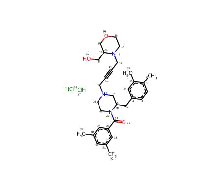 Cc1ccc(C[C@@H]2CN(CC#CCN3CCOC[C@@H]3CO)CCN2C(=O)c2cc(C(F)(F)F)cc(C(F)(F)F)c2)cc1C.Cl.Cl